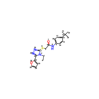 CCn1c(SCC(=O)Nc2ccc(C(C)(C)C)cc2)nnc1-c1ccco1